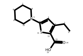 CCc1cc(N2CCCCC2)sc1C(=O)O